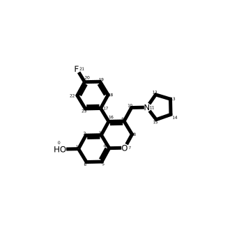 OC1C=C2C(=CC1)OCC(CN1CCCC1)=C2c1ccc(F)cc1